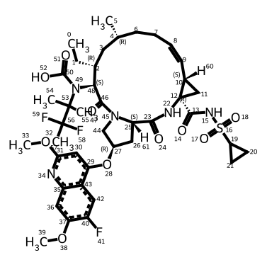 CC[C@@H]1C[C@H](C)CCC=C[C@@H]2C[C@@]2(C(=O)NS(=O)(=O)C2CC2)NC(=O)[C@@H]2C[C@@H](Oc3cc(OC)nc4cc(OC)c(F)cc34)CN2C(=O)[C@H]1N(C(=O)O)C(C)(C)C(C)(F)F